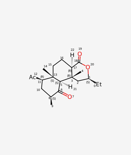 CC[C@H]1C[C@]2(C)[C@H]3C(=O)[C@@H](C)C[C@@H](C(C)=O)[C@]3(C)CC[C@H]2C(=O)O1